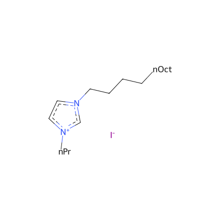 CCCCCCCCCCCCn1cc[n+](CCC)c1.[I-]